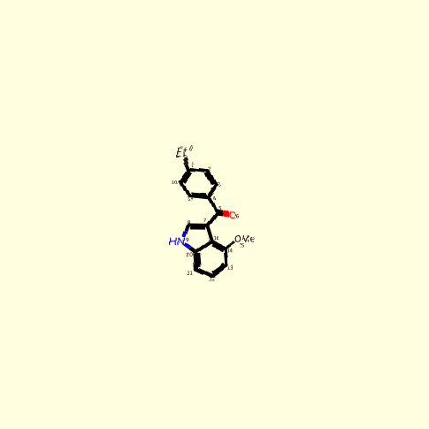 CCc1ccc(C(=O)c2c[nH]c3cccc(OC)c23)cc1